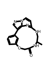 CC1CNc2ccn3ncc(c3n2)-c2cccc(c2)OCC(=O)N1